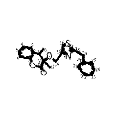 CC1c2ccccc2OC(=O)C1(C)OCc1csc(Cc2ccccc2)n1